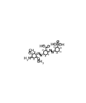 COc1cc(/N=N/c2ccc(/N=N/c3cccc(P(=O)(O)O)c3)c(C(=O)O)c2)c(OC)cc1N